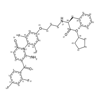 Nc1c(C(=O)c2ccc(F)cc2F)ccc(=O)n1-c1c(F)cc(OCCCN[C@@H](Cc2ccccc2)C(=O)OC2CCCC2)cc1F